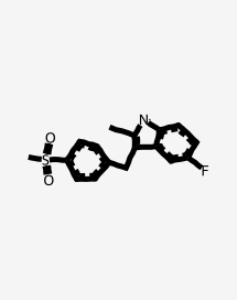 CC1=C(Cc2ccc(S(C)(=O)=O)cc2)c2cc(F)ccc2[N]1